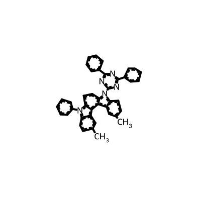 Cc1ccc2c(c1)c1c3c4cc(C)ccc4n(-c4nc(-c5ccccc5)nc(-c5ccccc5)n4)c3ccc1n2-c1ccccc1